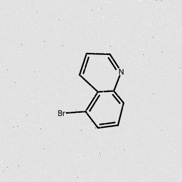 Brc1[c]ccc2ncccc12